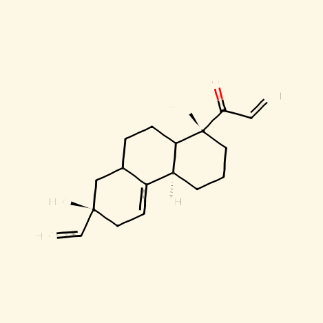 C=CC(=O)[C@]1(C)CCC[C@@]2(C)C3=CC[C@](C)(C=C)CC3CCC12